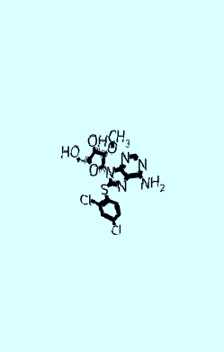 CO[C@@H]1[C@H](O)[C@@H](CO)O[C@H]1n1c(Sc2ccc(Cl)cc2Cl)nc2c(N)ncnc21